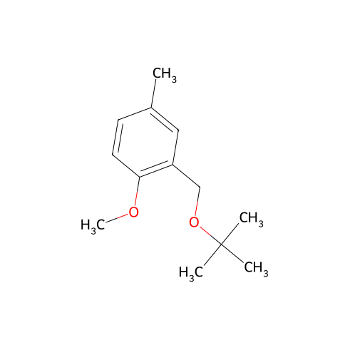 COc1ccc(C)cc1COC(C)(C)C